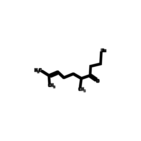 CCC(C)CCC(=O)C(C)CCC=C(C)C